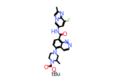 Cc1cn2cc(NC(=O)c3ccc(N4CCN(C(=O)OC(C)(C)C)C(C)C4)c4ccnnc34)cc(F)c2n1